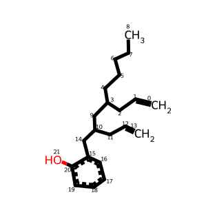 C=CCC(CCCCC)CC(CC=C)Cc1ccccc1O